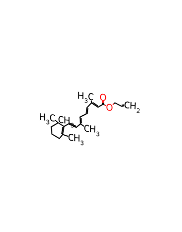 C=CCOC(=O)C=C(C)C=CC=C(C)C=CC1=C(C)CCCC1(C)C